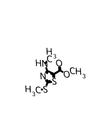 CNc1nc(SC)sc1C(=O)OC